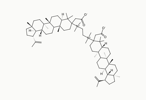 C=C(C)[C@@H]1CC[C@]2(C)CC[C@]3(C)[C@H](CCC4[C@@]5(C)CCC(CC(=O)[O-])([N+](C)(C)CC[N+](C)(C)C6(CC(=O)[O-])CC[C@]7(C)C8CC[C@@H]9[C@H]%10[C@H](C(=C)C)CC[C@]%10(C)CC[C@@]9(C)[C@]8(C)CC[C@H]7C6(C)C)C(C)(C)[C@@H]5CC[C@]43C)[C@@H]12